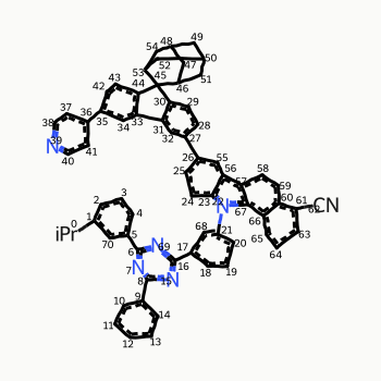 CC(C)c1cccc(-c2nc(-c3ccccc3)nc(-c3cccc(-n4c5ccc(-c6ccc7c(c6)-c6cc(-c8ccncc8)ccc6C76C7CC8CC(C7)CC6C8)cc5c5ccc6c(C#N)cccc6c54)c3)n2)c1